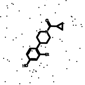 CCc1cc(O)ccc1C1CCN(C(=O)C2CC2)CC1